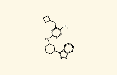 FC(F)(F)c1cnc(NC2CCCC(c3nnc4ccccn34)C2)nc1CC1CCC1